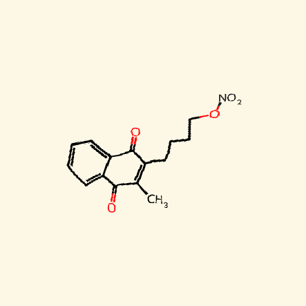 CC1=C(CCCCO[N+](=O)[O-])C(=O)c2ccccc2C1=O